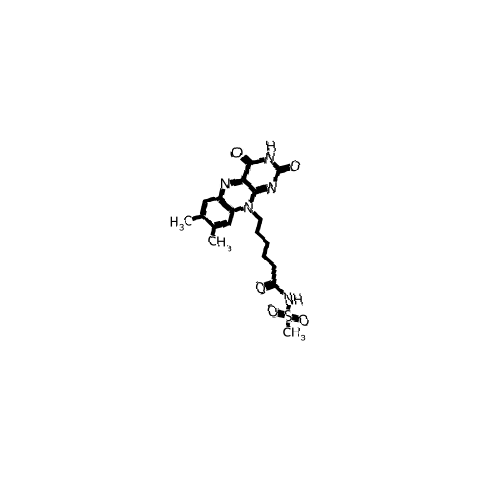 Cc1cc2nc3c(=O)[nH]c(=O)nc-3n(CCCCCC(=O)NS(C)(=O)=O)c2cc1C